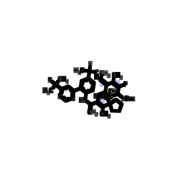 C=C(Nc1ccc(C(C)(C)F)cc1-c1cc(C(C)(C)F)ncn1)/C(CCC(=C/C)/C(C)=C(/F)C(C)CCCCCCCCCC)=C(\C)C1(N(C)C)CCCC1